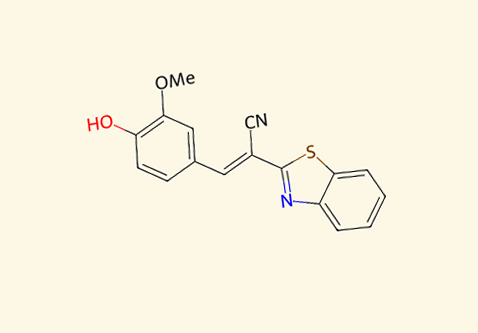 COc1cc(C=C(C#N)c2nc3ccccc3s2)ccc1O